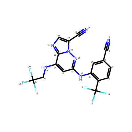 N#Cc1ccc(C(F)(F)F)c(Nc2cc(NCC(F)(F)F)c3ncc(C#N)n3n2)c1